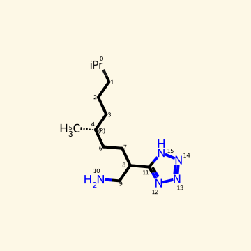 CC(C)CCC[C@@H](C)CCC(CN)c1nnn[nH]1